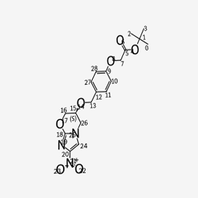 CC(C)(C)OC(=O)COc1ccc(CO[C@@H]2COc3nc([N+](=O)[O-])cn3C2)cc1